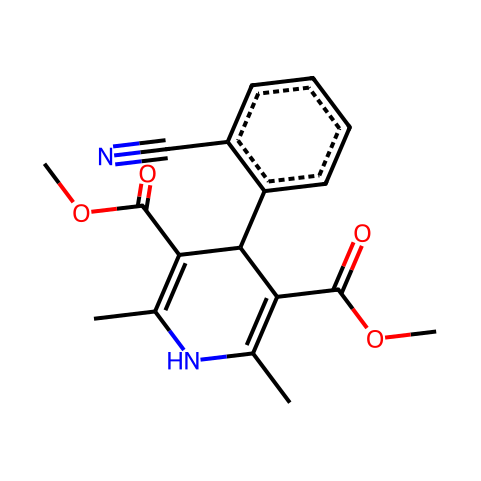 COC(=O)C1=C(C)NC(C)=C(C(=O)OC)C1c1ccccc1C#N